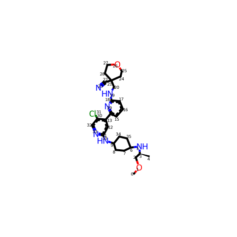 COC[C@H](C)NC1CCC(Nc2cc(-c3cccc(NCC4(C#N)CCOCC4)n3)c(Cl)cn2)CC1